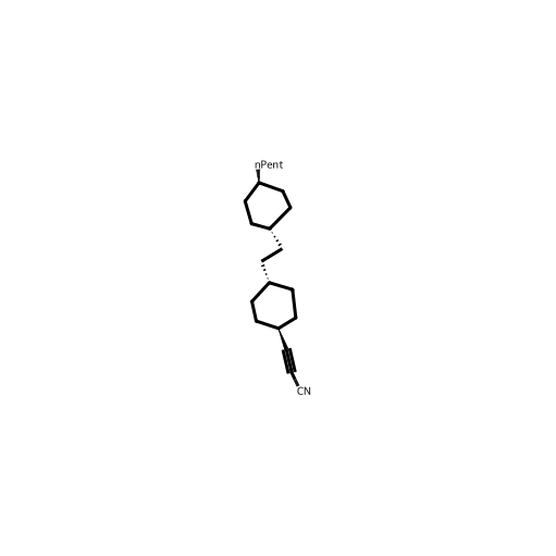 CCCCC[C@H]1CC[C@H](CC[C@H]2CC[C@H](C#CC#N)CC2)CC1